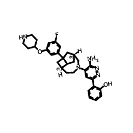 Nc1nnc(-c2ccccc2O)cc1N1CC[C@H]2CC3(c4cc(F)cc(OC5CCNCC5)c4)C[C@@H](CC23)C1